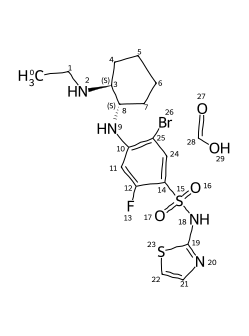 CCN[C@H]1CCCC[C@@H]1Nc1cc(F)c(S(=O)(=O)Nc2nccs2)cc1Br.O=CO